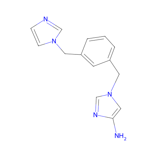 Nc1cn(Cc2cccc(Cn3ccnc3)c2)cn1